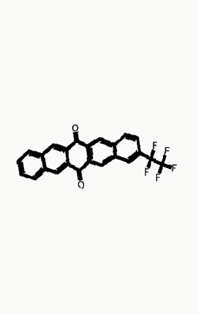 O=C1c2cc3ccccc3cc2C(=O)c2cc3cc(C(F)(F)C(F)(F)F)ccc3cc21